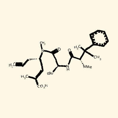 C=CC[C@@H](/C=C(\C)C(=O)O)N(C)C(=O)[C@@H](NC(=O)[C@@H](NC)C(C)(C)c1ccccc1)C(C)(C)C